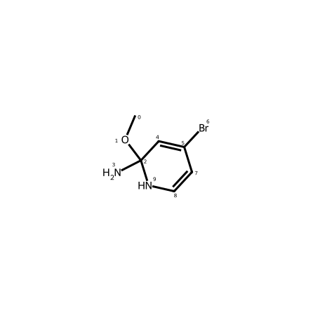 COC1(N)C=C(Br)C=CN1